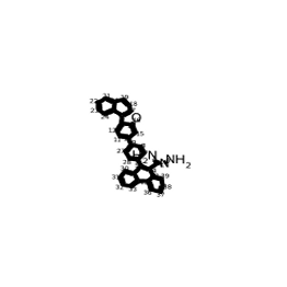 N/N=C(\N)c1c(-c2ccc(-c3ccc4c(c3)oc3ccc5ccccc5c34)cc2)c2ccccc2c2ccccc12